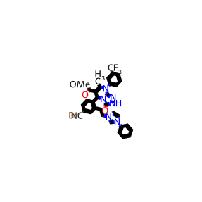 COC(=O)C1=C(C)N(c2cccc(C(F)(F)F)c2)c2n[nH]c(=O)n2C1c1ccc(C#N)cc1CC[n+]1ccn(-c2ccccc2)c1.[Br-]